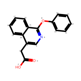 O=C(O)Cc1cnc(Oc2ccccc2)c2ccccc12